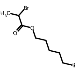 CC(C)CCCCCOC(=O)C(C)Br